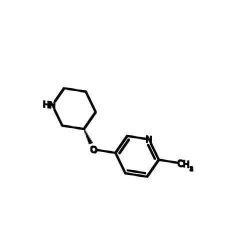 Cc1ccc(O[C@H]2CCCNC2)cn1